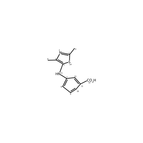 Cc1nc(C)c(Nc2cccc(C(=O)O)c2)s1